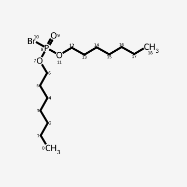 CCCCCCCOP(=O)(Br)OCCCCCCC